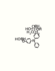 CC(C)(O)C(C)(C)O.OBOc1ccc(N(c2ccccc2)c2ccccc2)cc1